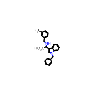 O=C(O)C(NCc1cccc(C(F)(F)F)c1)c1cn(Cc2ccccc2)c2ccccc12